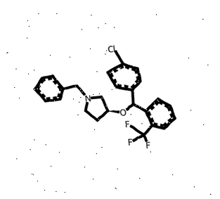 FC(F)(F)c1ccccc1C(O[C@H]1CCN(Cc2ccccc2)C1)c1ccc(Cl)cc1